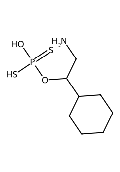 NCC(OP(O)(=S)S)C1CCCCC1